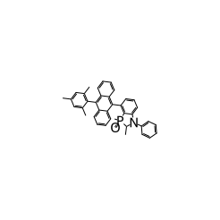 Cc1cc(C)c(-c2c3ccccc3c(-c3cccc4c3P(C)(=O)C(C)N4c3ccccc3)c3ccccc23)c(C)c1